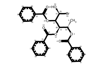 C[C@H](OC(=O)c1ccccc1)[C@@H](OC(=O)c1ccccc1)C(OC(=O)c1ccccc1)[C@@H](O)Br